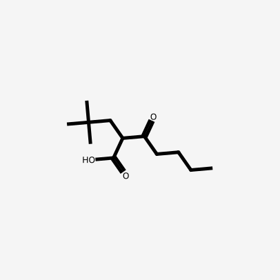 CCCCC(=O)C(CC(C)(C)C)C(=O)O